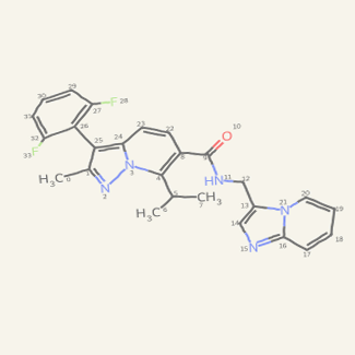 Cc1nn2c(C(C)C)c(C(=O)NCc3cnc4ccccn34)ccc2c1-c1c(F)cccc1F